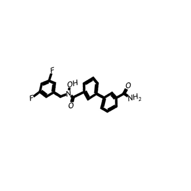 NC(=O)c1cccc(-c2cccc(C(=O)N(O)Cc3cc(F)cc(F)c3)c2)c1